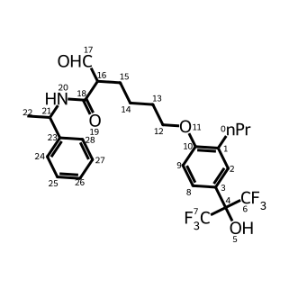 CCCc1cc(C(O)(C(F)(F)F)C(F)(F)F)ccc1OCCCCC(C=O)C(=O)NC(C)c1ccccc1